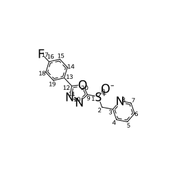 [O-][S+](Cc1ccccn1)c1nnc(-c2ccc(F)cc2)o1